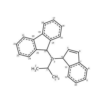 C[CH](C)[Zr]([CH]1C=Cc2ccccc21)[CH]1c2ccccc2-c2ccccc21